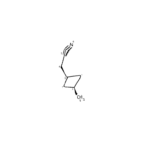 C[C@H]1C[C@@H](CC#N)C1